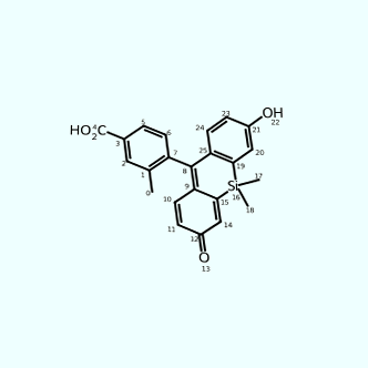 Cc1cc(C(=O)O)ccc1C1=C2C=CC(=O)C=C2[Si](C)(C)c2cc(O)ccc21